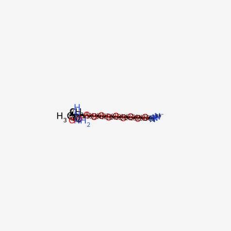 CC(C)[C@H](NC(=O)CCOCCOCCOCCOCCOCCOCCOCCOCCOCCN=[N+]=[N-])C(N)=O